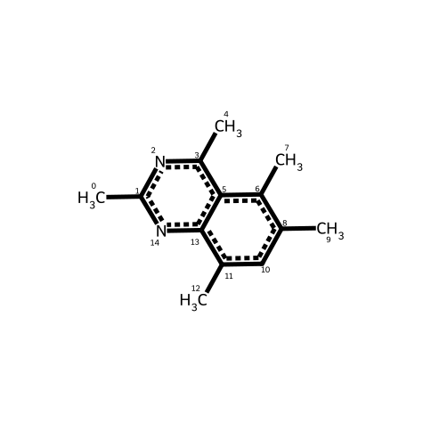 Cc1nc(C)c2c(C)c(C)cc(C)c2n1